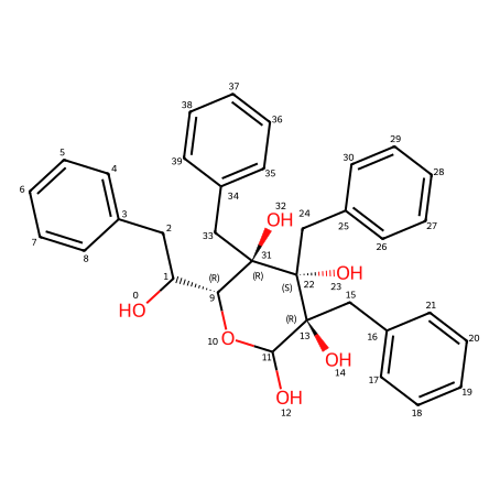 OC(Cc1ccccc1)[C@H]1OC(O)[C@@](O)(Cc2ccccc2)[C@](O)(Cc2ccccc2)[C@@]1(O)Cc1ccccc1